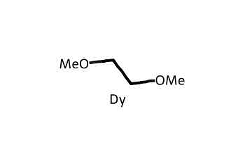 COCCOC.[Dy]